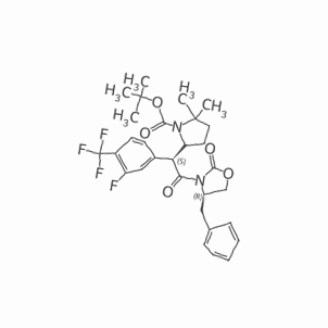 CC(C)(C)OC(=O)N1C([C@@H](C(=O)N2C(=O)OC[C@H]2Cc2ccccc2)c2ccc(C(F)(F)F)c(F)c2)CCC1(C)C